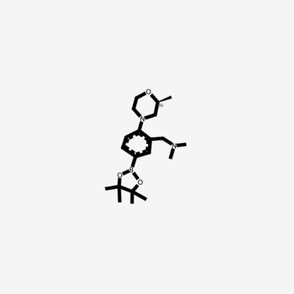 C[C@H]1CN(c2ccc(B3OC(C)(C)C(C)(C)O3)cc2CN(C)C)CCO1